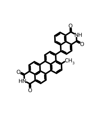 Cc1ccc2c3ccc4c5c(ccc(c6ccc(-c7ccc8c9c(cccc79)C(=O)NC8=O)c1c26)c53)C(=O)NC4=O